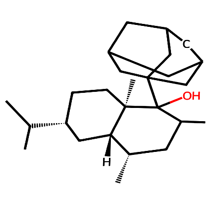 CC(C)[C@@H]1CC[C@]2(C)[C@@H](C1)[C@@H](C)CC(C)C2(O)C12CC3CC(CC(C3)C1)C2